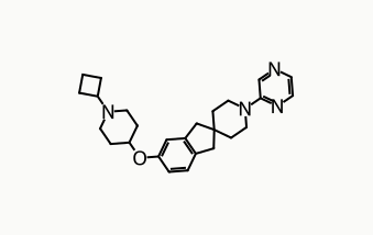 c1cnc(N2CCC3(CC2)Cc2ccc(OC4CCN(C5CCC5)CC4)cc2C3)cn1